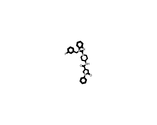 O=C(NC1CCN(c2nc3ccccc3n2Cc2cccc(F)c2)CC1)C1CC(=O)N(c2ccccc2)C1